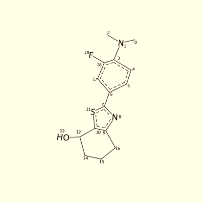 CN(C)c1ccc(-c2nc3c(s2)C(O)CCC3)cc1F